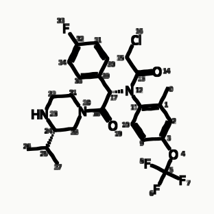 Cc1cc(OC(F)(F)F)ccc1N(C(=O)CCl)[C@H](C(=O)N1CCN[C@@H](C(C)C)C1)c1ccc(F)cc1